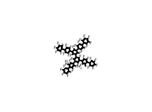 Cc1c(F)c(-c2c(F)c(-c3c(F)c(-c4c(F)c(F)c(-c5c(F)c(F)c(F)c(F)c5F)c(F)c4F)c(F)c(-c4c(F)c(F)c(-c5c(F)c(F)c(F)c(F)c5F)c(F)c4F)c3F)c(F)c(-c3c(F)c(P)c(-c4c(F)c(F)c(F)c(F)c4F)c(F)c3P)c2F)c(F)c(F)c1-c1c(F)c(F)c(F)c(F)c1F